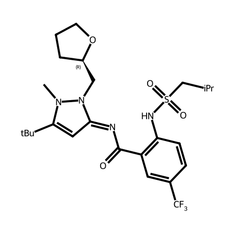 CC(C)CS(=O)(=O)Nc1ccc(C(F)(F)F)cc1C(=O)N=c1cc(C(C)(C)C)n(C)n1C[C@H]1CCCO1